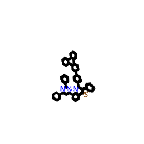 C1=CCCC(c2cc(-c3cccc4c3nc(-c3ccc(-c5ccc6c7ccccc7c7ccccc7c6c5)cc3)c3c5ccccc5sc43)nc(-c3ccccc3)n2)=C1